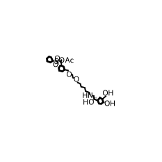 CC(=O)ON(c1cccc(COCCOCCCCCCNC[C@@H](O)c2ccc(O)c(CO)c2)c1)S(=O)(=O)c1ccccc1